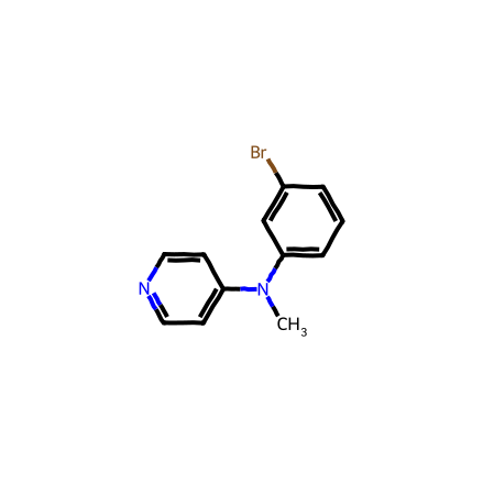 CN(c1ccncc1)c1cccc(Br)c1